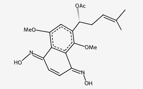 COc1cc([C@@H](CC=C(C)C)OC(C)=O)c(OC)c2c1/C(=N/O)C=C/C2=N\O